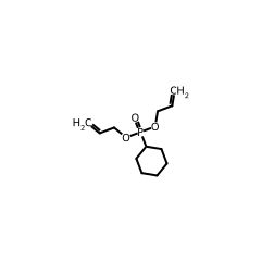 C=CCOP(=O)(OCC=C)C1CCCCC1